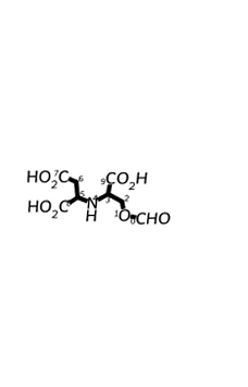 O=COCC(NC(CC(=O)O)C(=O)O)C(=O)O